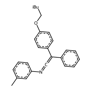 CCC(C)COc1ccc(C(=C=Nc2cccc(C)c2)c2ccccc2)cc1